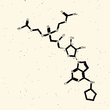 CC(C)(C)C(=O)OCOP(=O)(C[S+]([O-])C[C@H]1O[C@@H](n2ccc3c(NC4CCCC4)nc(Cl)nc32)[C@H](O)[C@@H]1O)OCOC(=O)C(C)(C)C